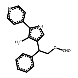 Cc1c(C(COC=O)c2ccccc2)c[nH]c1-c1ccncc1